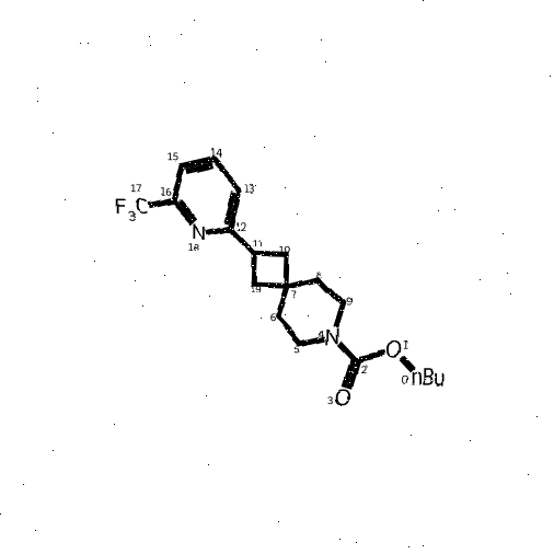 CCCCOC(=O)N1CCC2(CC1)CC(c1cccc(C(F)(F)F)n1)C2